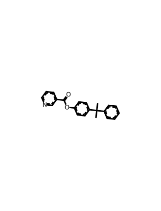 CC(C)(c1ccccc1)c1ccc(OC(=O)c2cccnc2)cc1